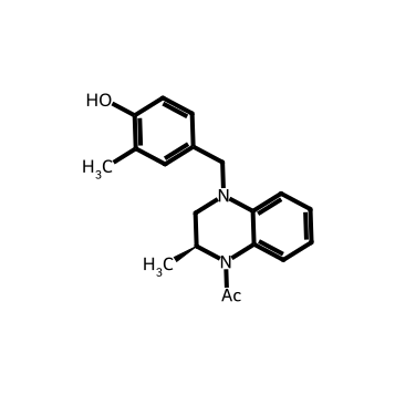 CC(=O)N1c2ccccc2N(Cc2ccc(O)c(C)c2)C[C@@H]1C